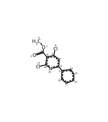 COC(=O)c1c(Cl)cc(-c2ccccc2)nc1Cl